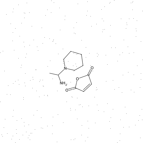 CC(N)N1CCCCC1.O=C1C=CC(=O)O1